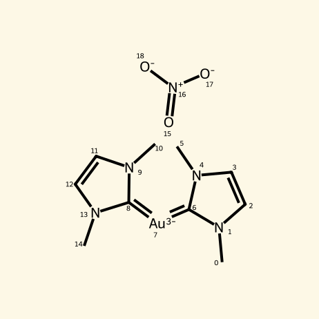 Cn1ccn(C)[c]1=[Au-3]=[c]1n(C)ccn1C.O=[N+]([O-])[O-]